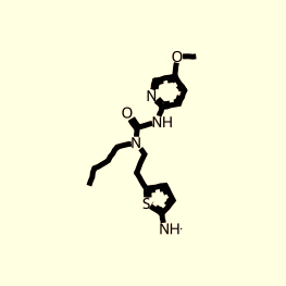 CCCCN(CCc1ccc([NH])s1)C(=O)Nc1ccc(OC)cn1